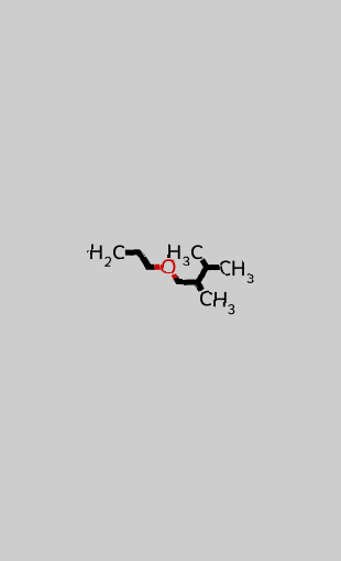 [CH2]CCOCC(C)C(C)C